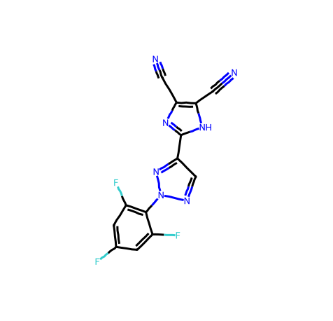 N#Cc1nc(-c2cnn(-c3c(F)cc(F)cc3F)n2)[nH]c1C#N